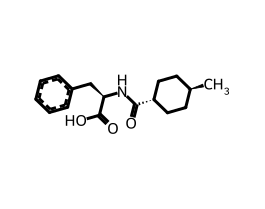 C[C@H]1CC[C@H](C(=O)N[C@H](Cc2ccccc2)C(=O)O)CC1